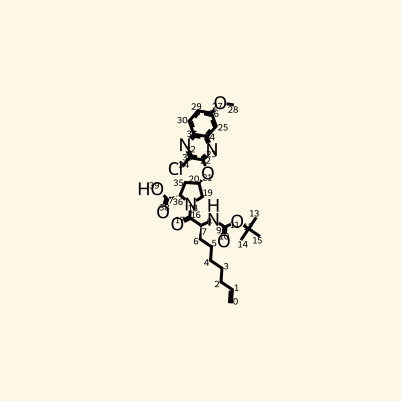 C=CCCCCC[C@H](NC(=O)OC(C)(C)C)C(=O)N1C[C@H](Oc2nc3cc(OC)ccc3nc2Cl)C[C@H]1C(=O)O